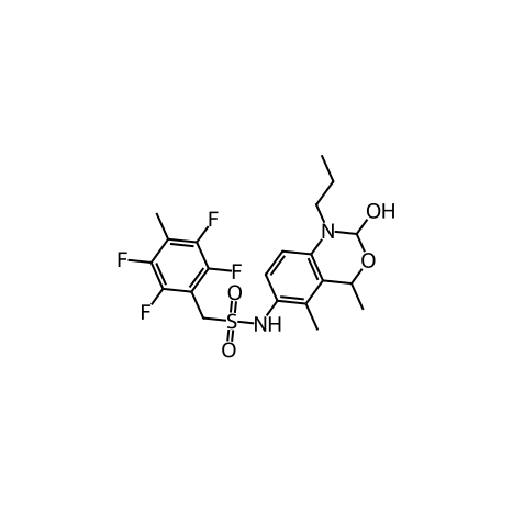 CCCN1c2ccc(NS(=O)(=O)Cc3c(F)c(F)c(C)c(F)c3F)c(C)c2C(C)OC1O